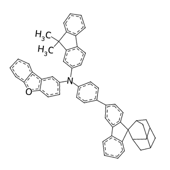 CC1(C)c2ccccc2-c2ccc(N(c3ccc(-c4ccc5c(c4)-c4ccccc4C54C5CC6CC(C5)CC4C6)cc3)c3ccc4oc5ccccc5c4c3)cc21